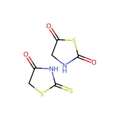 O=C1CNC(=O)S1.O=C1CSC(=S)N1